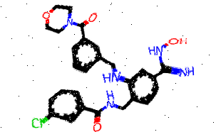 N=C(NO)c1ccc(CNC(=O)c2cccc(Cl)c2)c(NCc2cccc(C(=O)N3CCOCC3)c2)c1